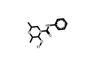 CCOC1C(C)OC(C)CN1C(=O)Nc1ccccc1